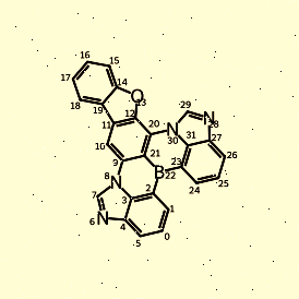 c1cc2c3c(c1)ncn3-c1cc3c(oc4ccccc43)c3c1B2c1cccc2ncn-3c12